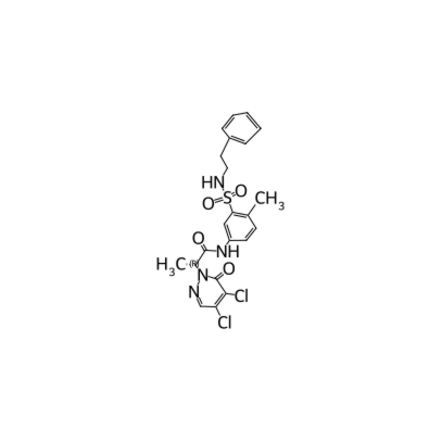 Cc1ccc(NC(=O)[C@@H](C)n2ncc(Cl)c(Cl)c2=O)cc1S(=O)(=O)NCCc1ccccc1